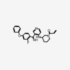 C=CC(=O)N1CCCC(Nc2ccncc2C(=N)c2ccc(Oc3ccccc3)cc2F)C1